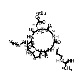 CC(=N)NCCC[C@@H]1NC(=O)[C@@H]2CC[C@H]3C[C@@H](CN=[N+]=[N-])[C@@H](NC(=O)[C@H](CC(=O)OC(C)(C)C)NC(=O)CNC1=O)C(=O)N32